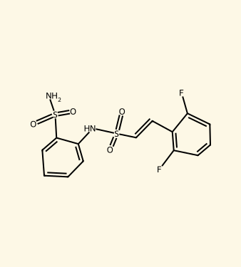 NS(=O)(=O)c1ccccc1NS(=O)(=O)/C=C/c1c(F)cccc1F